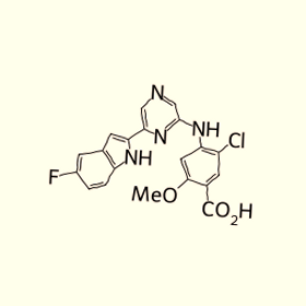 COc1cc(Nc2cncc(-c3cc4cc(F)ccc4[nH]3)n2)c(Cl)cc1C(=O)O